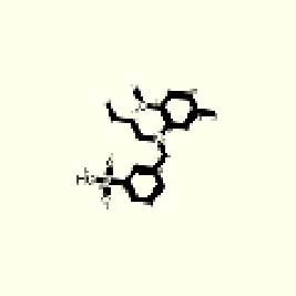 CCCCN(Cc1cccc(S(=O)(=O)O)c1)c1cc(C)ccc1OC